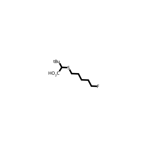 CC(C)(C)C(SCCCCCF)C(=O)O